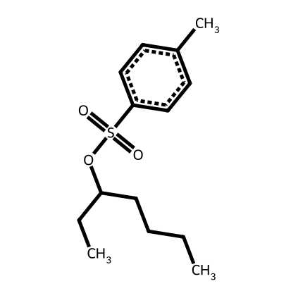 CCCCC(CC)OS(=O)(=O)c1ccc(C)cc1